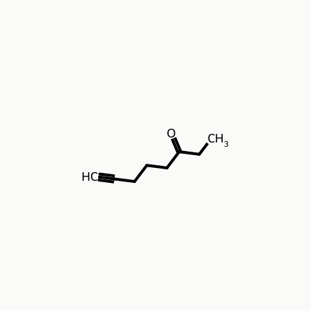 C#CCCCC(=O)CC